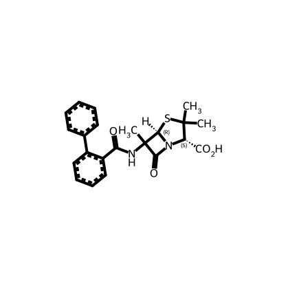 CC1(C)S[C@H]2N(C(=O)C2(C)NC(=O)c2ccccc2-c2ccccc2)[C@H]1C(=O)O